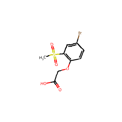 CS(=O)(=O)c1cc(Br)ccc1OCC(=O)O